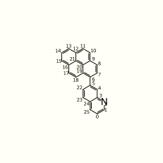 c1cnc2cc(-c3ccc4ccc5cccc6ccc3c4c56)ccc2c1